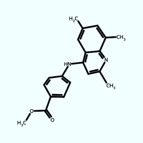 COC(=O)c1ccc(Nc2cc(C)nc3c(C)cc(C)cc23)cc1